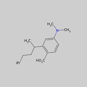 CC(C)CCC(C)c1cc(N(C)C)ccc1C(=O)O